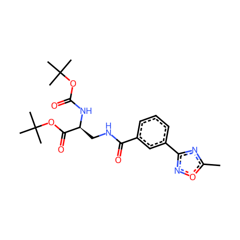 Cc1nc(-c2cccc(C(=O)NC[C@H](NC(=O)OC(C)(C)C)C(=O)OC(C)(C)C)c2)no1